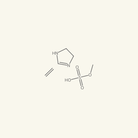 C1=NCCN1.C=C.COS(=O)(=O)O